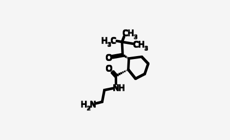 CC(C)(C)C(=O)[C@@H]1CCCC[C@@H]1C(=O)NCCN